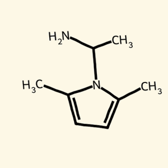 Cc1ccc(C)n1C(C)N